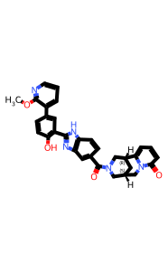 COc1ncccc1-c1ccc(O)c(-c2nc3cc(C(=O)N4C[C@@H]5C[C@H](C4)c4cccc(=O)n4C5)ccc3[nH]2)c1